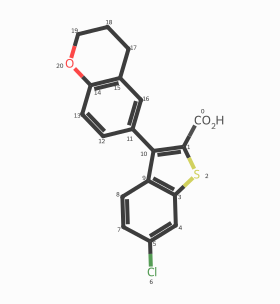 O=C(O)c1sc2cc(Cl)ccc2c1-c1ccc2c(c1)CCCO2